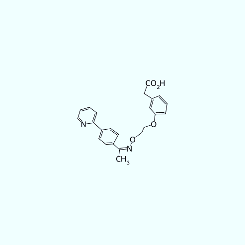 CC(=NOCCOc1cccc(CC(=O)O)c1)c1ccc(-c2ccccn2)cc1